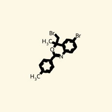 Cc1ccc(C2=Nc3ccc(Br)cc3C(C)(CBr)O2)cc1